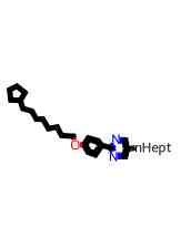 CCCCCCCc1cnc(-c2ccc(OCCCCCCCCC3CCCC3)cc2)nc1